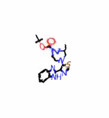 CC1CN(c2scnc2-c2nc3ccccc3[nH]2)CCN1C(=O)OC(C)(C)C